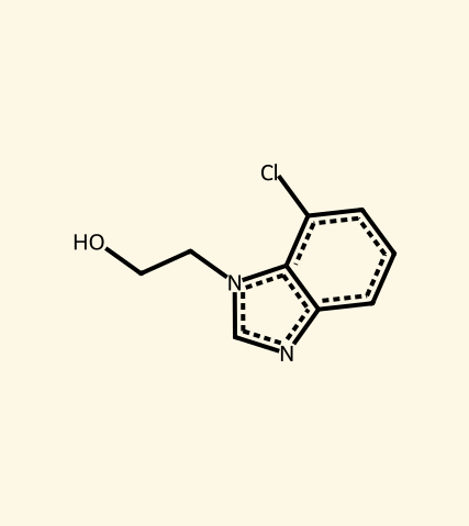 OCCn1cnc2cccc(Cl)c21